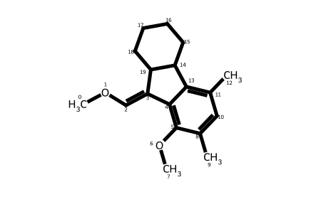 COC=C1c2c(OC)c(C)cc(C)c2C2CCCCC12